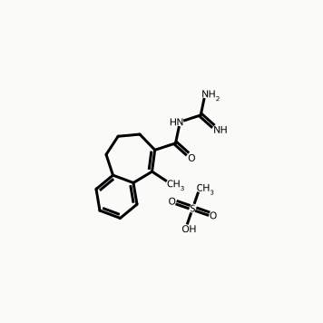 CC1=C(C(=O)NC(=N)N)CCCc2ccccc21.CS(=O)(=O)O